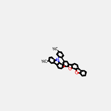 N#Cc1ccc(-c2ccc3oc4c(ccc5c6ccccc6oc54)c3c2)c(-n2c3ccccc3c3cc(C#N)ccc32)c1